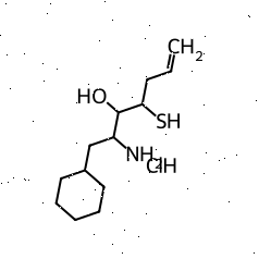 C=CCC(S)C(O)C(N)CC1CCCCC1.Cl